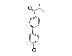 CC(C)C(=O)c1ccc(-c2ccc(Cl)cc2)cc1